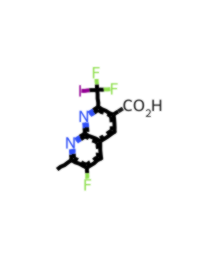 Cc1nc2nc(C(F)(F)I)c(C(=O)O)cc2cc1F